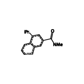 CNC(=O)c1cc(C(C)C)c2ccccc2c1